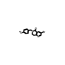 COc1ccc(CN2CCc3ncc(Br)cc3C2=O)cc1